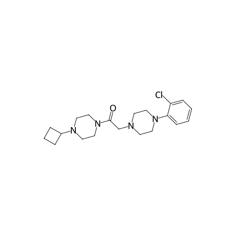 O=C(CN1CCN(c2ccccc2Cl)CC1)N1CCN(C2CCC2)CC1